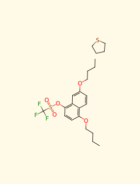 C1CCSC1.CCCCOc1ccc2c(OCCCC)ccc(OS(=O)(=O)C(F)(F)F)c2c1